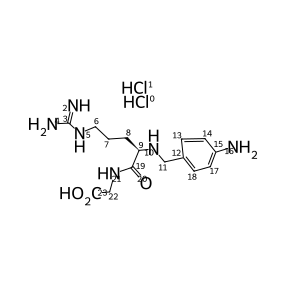 Cl.Cl.N=C(N)NCCC[C@@H](NCc1ccc(N)cc1)C(=O)NCC(=O)O